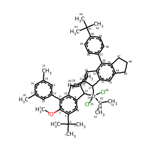 COc1c(C(C)(C)C)cc2c(c1-c1cc(C)cc(C)c1)C=C(C)[CH]2[Zr]([Cl])([Cl])([CH]1C(C)=Cc2c1cc1c(c2-c2ccc(C(C)(C)C)cc2)CCC1)[SiH](C)C